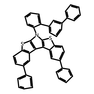 c1ccc(-c2cccc(-c3ccccc3-n3c4sc5ccc(-c6ccccc6)cc5c4c4c5cc(-c6ccccc6)ccc5sc43)c2)cc1